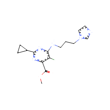 COC(=O)c1nc(C2CC2)nc(NCCCn2ccnc2)c1Cl